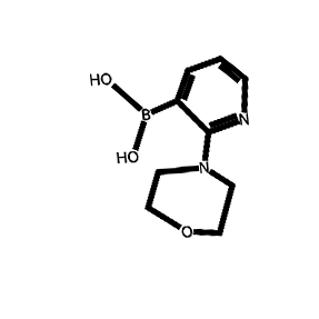 OB(O)c1cccnc1N1CCOCC1